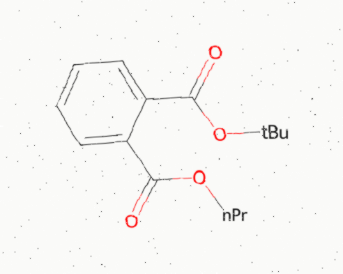 CCCOC(=O)c1ccccc1C(=O)OC(C)(C)C